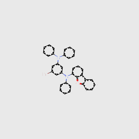 Brc1cc(N(c2ccccc2)c2ccccc2)cc(N(c2ccccc2)c2cccc3c2oc2ccccc23)c1